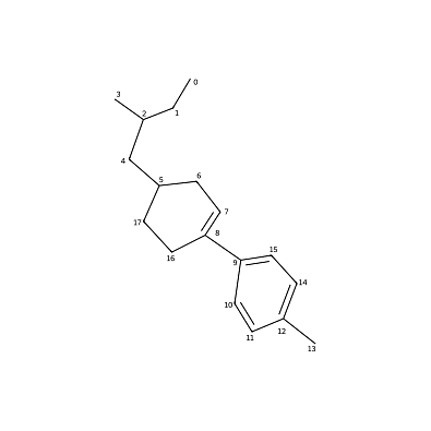 CCC(C)CC1CC=C(c2ccc(C)cc2)CC1